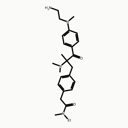 CCN(C)C(=O)Cc1ccc(CC(C)(C(=O)c2ccc(N(C)CCN)cc2)N(C)C)cc1